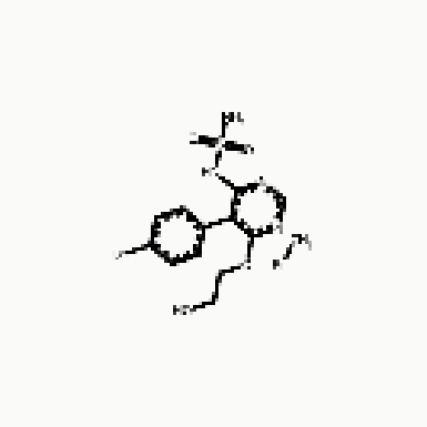 CCC.NS(=O)(=O)Nc1ncnc(OCCO)c1-c1ccc(Br)cc1